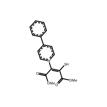 COC(=O)/C(S)=C(\C(=O)OC)[n+]1ccc(-c2ccccc2)cc1